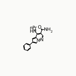 CCCNc1c(C(N)=O)cnn2cc(-c3ccccc3)cc12